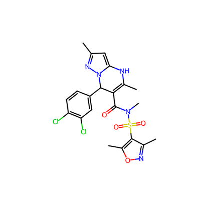 CC1=C(C(=O)N(C)S(=O)(=O)c2c(C)noc2C)C(c2ccc(Cl)c(Cl)c2)n2nc(C)cc2N1